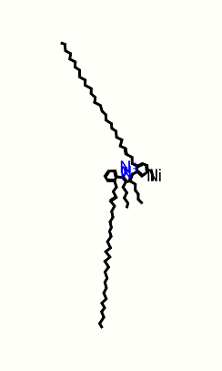 CCCCCCCCCCCCCCCCCCCCCCCCCC=CCCc1ccccc1C1=C(CCCCC)C(CCCCC)=C(c2ccccc2CCC=CCCCCCCCCCCCCCCCCCCCCCCCCC)[N+]1=[N-].[CH3][Ni][CH3]